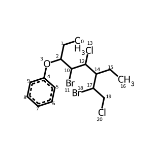 CCC(Oc1ccccc1)C(Br)C(Cl)C(CC)C(Br)CCl